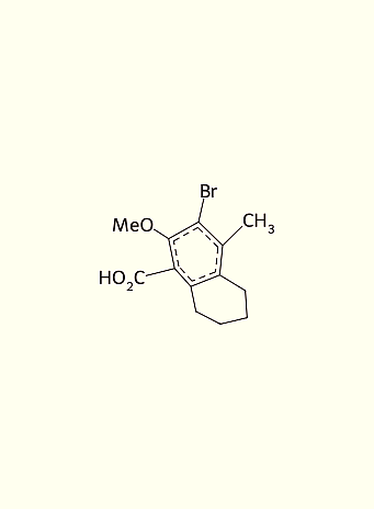 COc1c(Br)c(C)c2c(c1C(=O)O)CCCC2